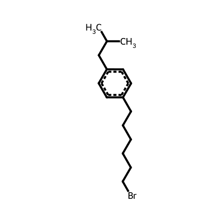 CC(C)Cc1ccc(CCCCCCBr)cc1